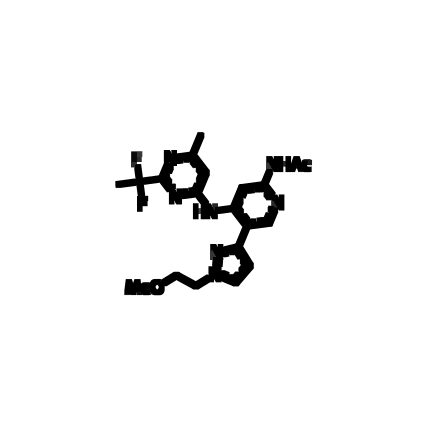 COCCn1ccc(-c2cnc(NC(C)=O)cc2Nc2cc(C)nc(C(C)(F)F)n2)n1